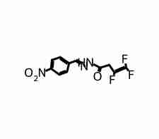 O=C(CC(F)=C(F)F)NN=Cc1ccc([N+](=O)[O-])cc1